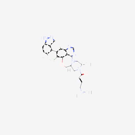 Cc1ccc2[nH]ncc2c1-c1c(Cl)c2c3c(ncnc3c1F)N1C[C@@H](C)N(C(=O)/C=C/CN(C)C)C[C@H]1CO2